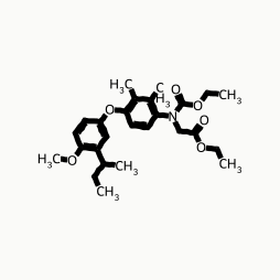 CCOC(=O)CN(C(=O)OCC)c1ccc(Oc2ccc(OC)c(C(C)CC)c2)c(C)c1C